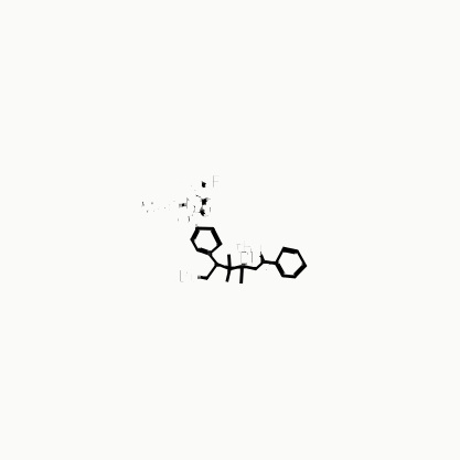 BC(C)(CC(c1ccccc1)C(C)(C)C)C(C)(C)C(CC(C)(C)C)c1ccc(S(=O)(=O)N(OC)S(=O)(=O)C(F)(F)F)cc1